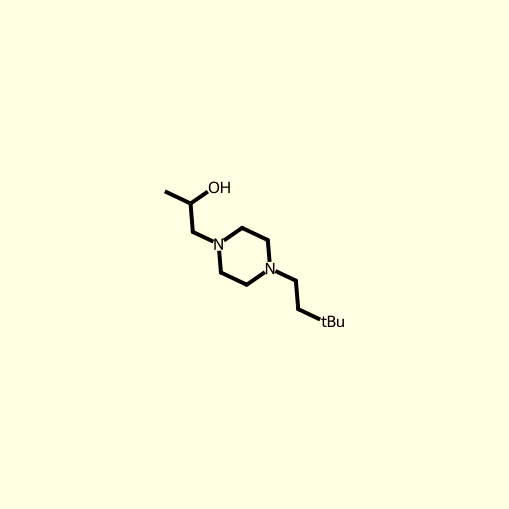 CC(O)CN1CCN(CCC(C)(C)C)CC1